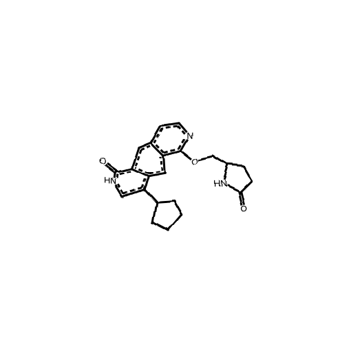 O=C1CCC(COc2nccc3cc4c(=O)[nH]cc(C5CCCC5)c4cc23)N1